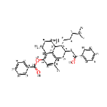 CC(C)=CCC[C@@H]1C(CC(=O)c2ccccc2)Cc2c(C)cc(OC(=O)c3ccccc3)c3c2[C@H]1CC[C@H]3C